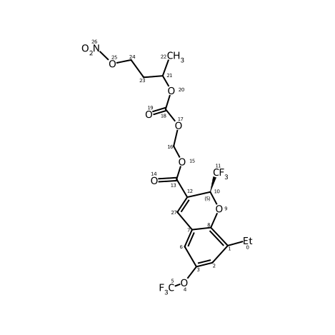 CCc1cc(OC(F)(F)F)cc2c1O[C@H](C(F)(F)F)C(C(=O)OCOC(=O)OC(C)CCO[N+](=O)[O-])=C2